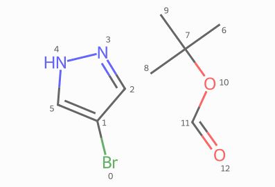 Brc1cn[nH]c1.CC(C)(C)OC=O